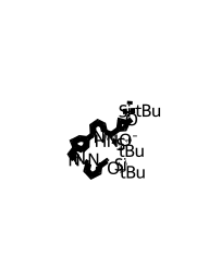 CC(C)(C)[S+]([O-])N[C@H](c1cccc(-c2ccc3cnn(-c4cccc(CO[Si](C)(C)C(C)(C)C)n4)c3c2)n1)C1CC(O[Si](C)(C)C(C)(C)C)C1